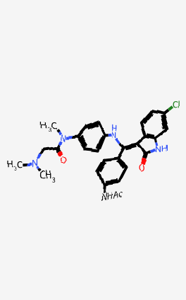 CC(=O)Nc1ccc(C(Nc2ccc(N(C)C(=O)CN(C)C)cc2)=C2C(=O)Nc3cc(Cl)ccc32)cc1